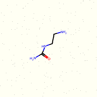 NCCNC(N)=O